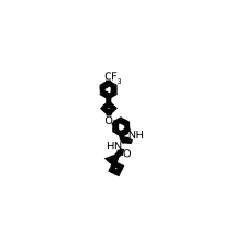 O=C(Nc1c[nH]c2ccc(OC3CC(c4ccc(C(F)(F)F)cc4)C3)cc12)C1CC12CCC2